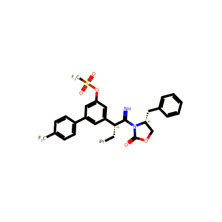 CC(C)C[C@@H](C(=N)N1C(=O)OC[C@H]1Cc1ccccc1)c1cc(OS(=O)(=O)C(F)(F)F)cc(-c2ccc(C(F)(F)F)cc2)c1